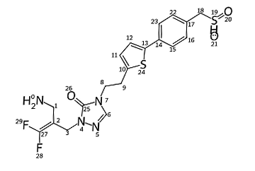 NCC(Cn1ncn(CCc2ccc(-c3ccc(C[SH](=O)=O)cc3)s2)c1=O)=C(F)F